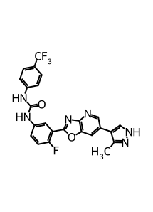 Cc1n[nH]cc1-c1cnc2nc(-c3cc(NC(=O)Nc4ccc(C(F)(F)F)cc4)ccc3F)oc2c1